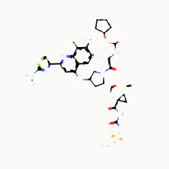 C=C[C@@H]1C[C@]1(NC(=O)[C@@H]1CC(Oc2cc(-c3csc(NC(C)C)n3)nc3c(Cl)c(OC)ccc23)CN1C(=O)[C@@H](NC(=O)OC1CCCC1)C(C)(C)C)C(=O)NC(=O)NS(=O)(=O)OC